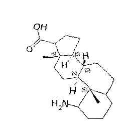 C[C@]12C(N)CCCC1CC[C@@H]1[C@@H]2CC[C@]2(C)C(C(=O)O)CC[C@@H]12